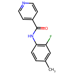 Cc1ccc(NC(=O)c2ccncc2)c(F)c1